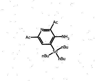 CCC[CH2][Sn]([CH2]CCC)([CH2]CCC)[c]1cc(C(C)=O)nc(C(C)=O)c1N